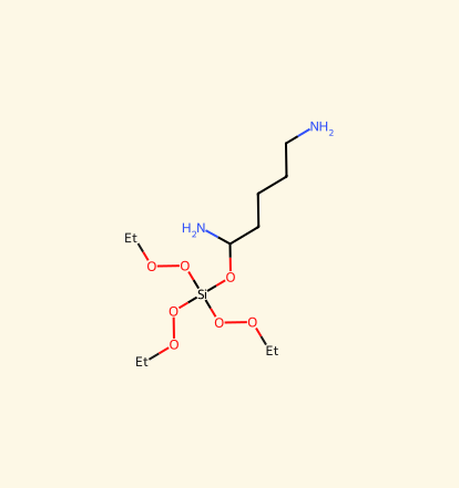 CCOO[Si](OOCC)(OOCC)OC(N)CCCCN